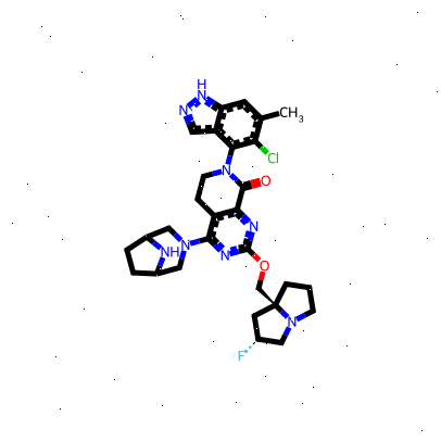 Cc1cc2[nH]ncc2c(N2CCc3c(nc(OC[C@@]45CCCN4C[C@H](F)C5)nc3N3CC4CCC(C3)N4)C2=O)c1Cl